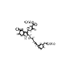 COCc1cccc(/C=C/CCCCc2c(C(=O)CC(C)CC(=O)OC)c3cc(Cl)ccc3n2C)c1